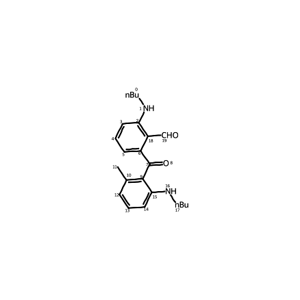 CCCCNc1cccc(C(=O)c2c(C)cccc2NCCCC)c1C=O